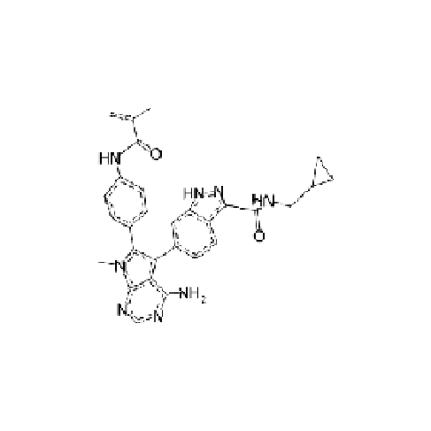 C=C(C)C(=O)Nc1ccc(-c2c(-c3ccc4c(C(=O)NCC5CC5)n[nH]c4c3)c3c(N)ncnc3n2C)cc1